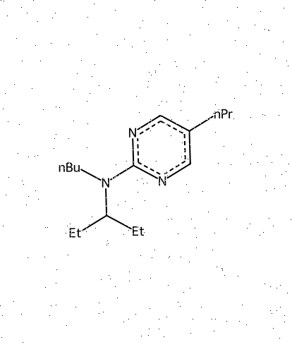 CCCCN(c1ncc(CCC)cn1)C(CC)CC